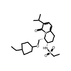 CCC1CCC(OC[C@H]2[C@@H](NS(=O)(=O)CC)CCc3ccc(C(C)C)c(=O)n32)CC1